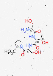 C[C@@H](O)[C@H](NC(=O)[C@@H](N)CO)C(=O)N[C@@H](CO)C(=O)N1CCC[C@H]1C(=O)O